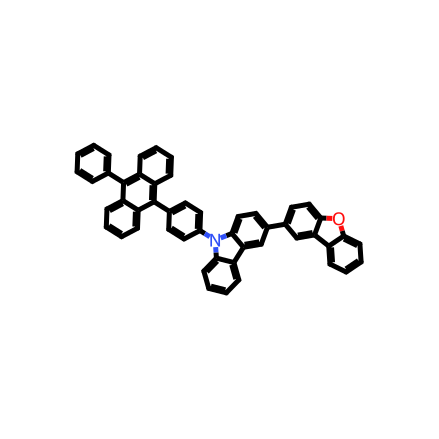 c1ccc(-c2c3ccccc3c(-c3ccc(-n4c5ccccc5c5cc(-c6ccc7oc8ccccc8c7c6)ccc54)cc3)c3ccccc23)cc1